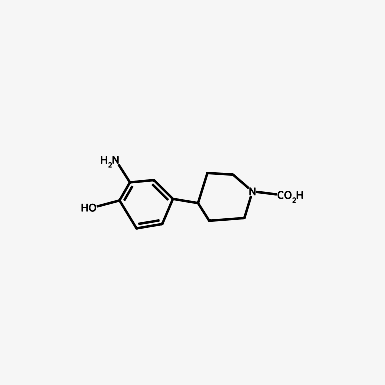 Nc1cc(C2CCN(C(=O)O)CC2)ccc1O